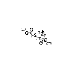 CCOC(=O)CSCC(C(=O)OCC)C(F)(F)F